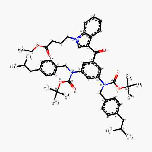 CCOC(=O)CCCn1cc(C(=O)c2cc(N(Cc3ccc(CC(C)C)cc3)C(=O)OC(C)(C)C)cc(N(Cc3ccc(CC(C)C)cc3)C(=O)OC(C)(C)C)c2)c2ccccc21